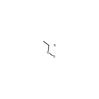 CC[O][Ti].[Ti]